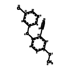 COc1ccc(Oc2cncc(Cl)c2)c(C#N)c1